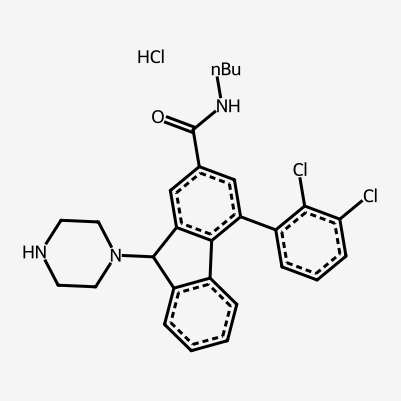 CCCCNC(=O)c1cc(-c2cccc(Cl)c2Cl)c2c(c1)C(N1CCNCC1)c1ccccc1-2.Cl